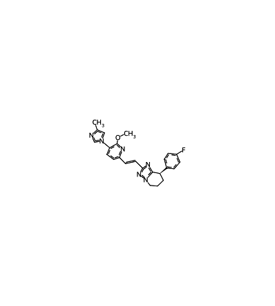 COc1nc(/C=C/c2nc3n(n2)CCC[C@@H]3c2ccc(F)cc2)ccc1-n1cnc(C)c1